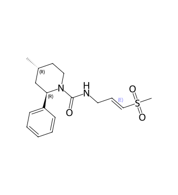 C[C@@H]1CCN(C(=O)NC/C=C/S(C)(=O)=O)[C@@H](c2ccccc2)C1